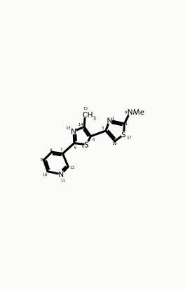 CNc1nc(-c2sc(-c3cccnc3)nc2C)cs1